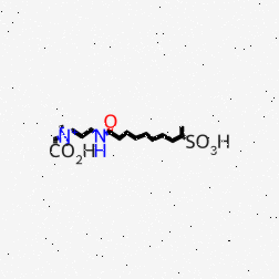 CC(CCCCCCCC(=O)NCCC[N+](C)(C)CC(=O)O)S(=O)(=O)O